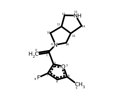 C=C(c1oc(C)cc1F)N1CC2CNCC2C1